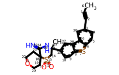 CC#Cc1ccc2sc3ccc([C@]4(C)CS(=O)(=O)C5(CCOCC5)C(=N)N4)cc3c2c1